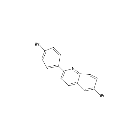 CC(C)c1ccc(-c2ccc3cc(C(C)C)ccc3n2)cc1